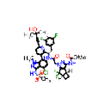 COC(=O)Nc1nn(CC(=O)N[C@@H](Cc2cc(F)cc(F)c2)c2nc(C#CC(C)(C)O)ccc2-c2ccc(Cl)c3c(NS(C)(=O)=O)nn(C)c23)c2c1[C@H]1CC[C@H]1C2(F)F